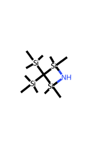 C[Si](C)(C)C1([Si](C)(C)C)[Si](C)(C)N[Si]1(C)C